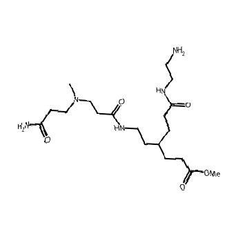 COC(=O)CCC(CCNC(=O)CCN(C)CCC(N)=O)CCC(=O)NCCN